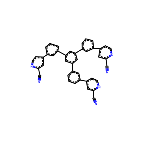 N#Cc1cc(-c2cccc(-c3cc(-c4cccc(-c5ccnc(C#N)c5)c4)cc(-c4cccc(-c5ccnc(C#N)c5)c4)c3)c2)ccn1